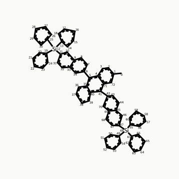 Cc1ccc2c(-c3ccc4cc([Si](c5ccccc5)(c5ccccc5)c5ccccc5)ccc4c3)c3ccccc3c(-c3ccc4cc([Si](c5ccccc5)(c5ccccc5)c5ccccc5)ccc4c3)c2c1